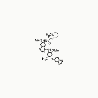 COc1cc2ncnc(Nc3cc(C)c(Oc4ccn5ncnc5c4)cc3OC)c2cc1NC(=O)C(F)=CC1CCCCN1C